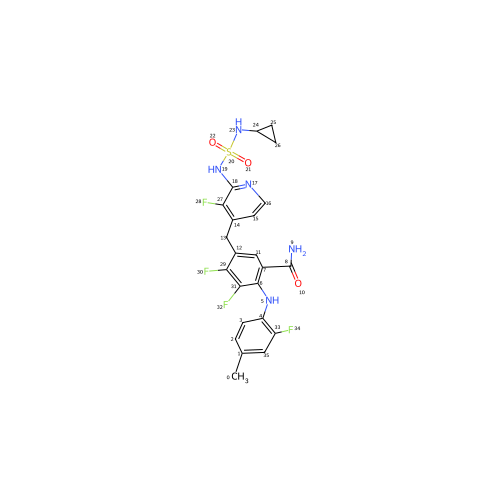 Cc1ccc(Nc2c(C(N)=O)cc(Cc3ccnc(NS(=O)(=O)NC4CC4)c3F)c(F)c2F)c(F)c1